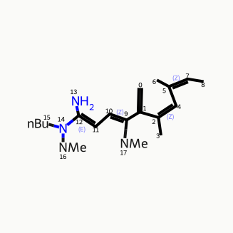 C=C(/C(C)=C\C(C)=C/C)/C(=C/C=C(\N)N(CCCC)NC)NC